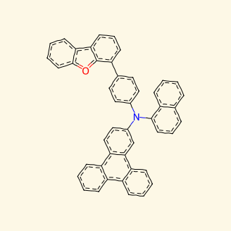 c1ccc2c(N(c3ccc(-c4cccc5c4oc4ccccc45)cc3)c3ccc4c5ccccc5c5ccccc5c4c3)cccc2c1